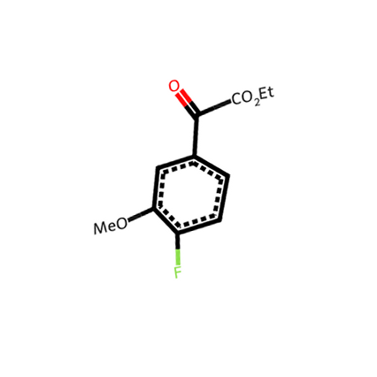 CCOC(=O)C(=O)c1ccc(F)c(OC)c1